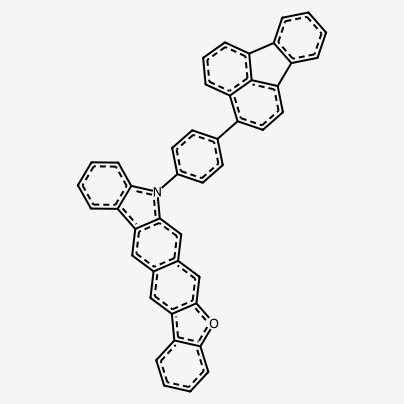 c1ccc2c(c1)-c1cccc3c(-c4ccc(-n5c6ccccc6c6cc7cc8c(cc7cc65)oc5ccccc58)cc4)ccc-2c13